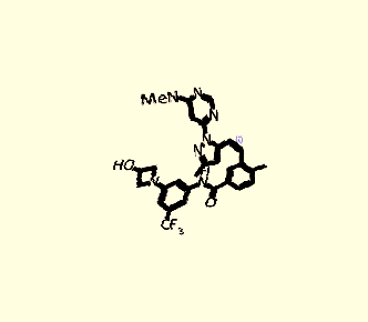 CNc1cc(-n2nc(C)cc2/C=C\c2cc(C(=O)Nc3cc(N4CC(O)C4)cc(C(F)(F)F)c3)ccc2C)ncn1